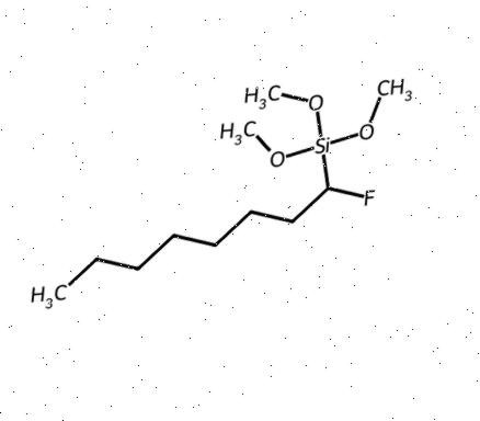 CCCCCCCC(F)[Si](OC)(OC)OC